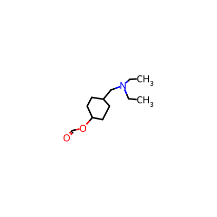 CCN(CC)CC1CCC(OC=O)CC1